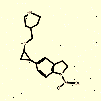 CC(C)(C)[S+]([O-])N1CCc2cc(C3CC3NCC3CCNCC3)ccc21